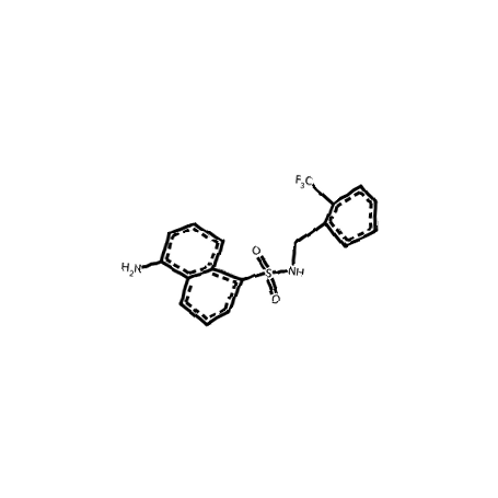 Nc1cccc2c(S(=O)(=O)NCc3ccccc3C(F)(F)F)cccc12